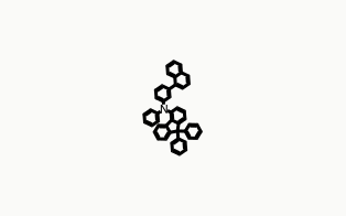 c1ccc(N(c2cccc(-c3cccc4ccccc34)c2)c2cccc3c2-c2ccccc2C3(c2ccccc2)c2ccccc2)cc1